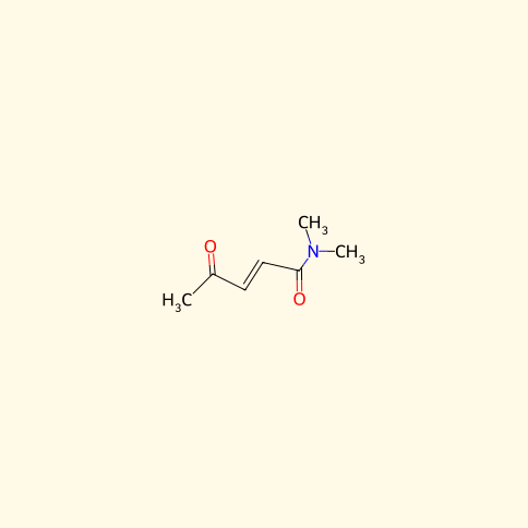 CC(=O)C=CC(=O)N(C)C